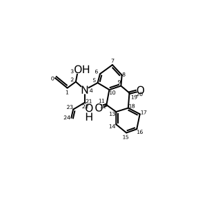 C=CC(O)N(c1cccc2c1C(=O)c1ccccc1C2=O)C(O)C=C